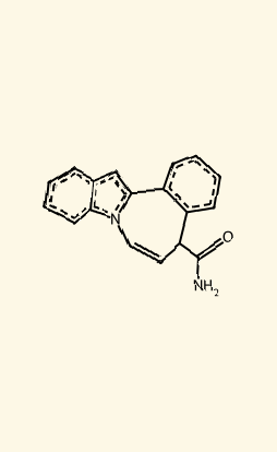 NC(=O)C1C=Cn2c(cc3ccccc32)-c2ccccc21